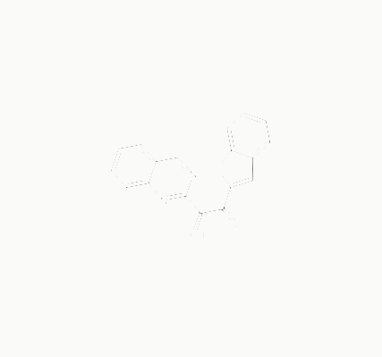 C=C(C(=C)c1cc2ccccc2s1)c1ncc2ccccc2n1